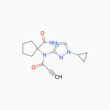 C#CC(=O)N(c1ccn(C2CC2)n1)C1(C(N)=O)CCCC1